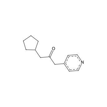 O=C(Cc1ccncc1)CC1CCCC1